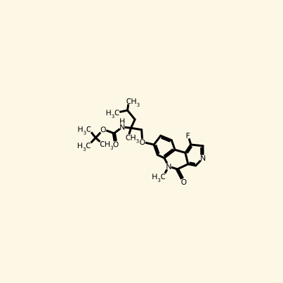 CC(C)CC(C)(COc1ccc2c3c(F)cncc3c(=O)n(C)c2c1)NC(=O)OC(C)(C)C